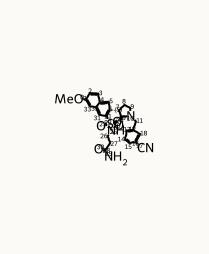 COc1ccc2cc([C@@H]3CCN(Cc4cccc(C#N)c4)C3=O)c(S(=O)(=O)NCCC(N)=O)cc2c1